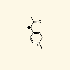 CC(=O)NC1=CC[C@@H](C)C=C1